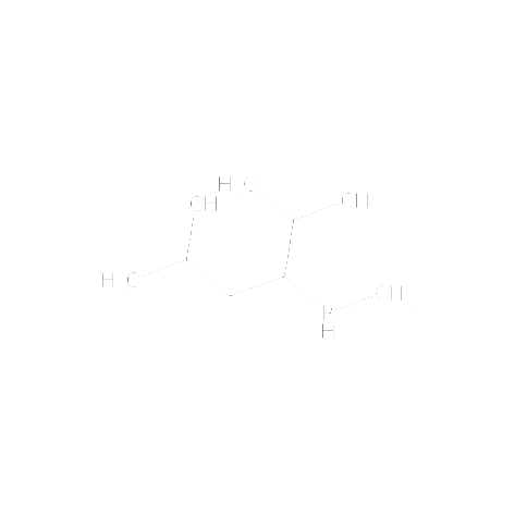 CBC(CC(C)C)C(C)C